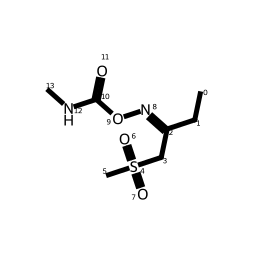 CCC(CS(C)(=O)=O)=NOC(=O)NC